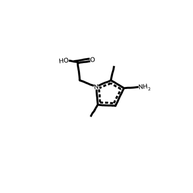 Cc1cc(N)c(C)n1CC(=O)O